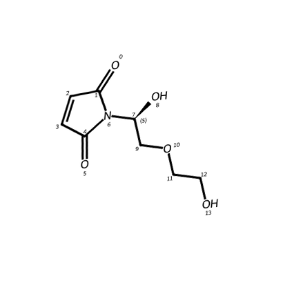 O=C1C=CC(=O)N1[C@@H](O)COCCO